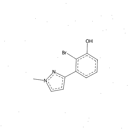 Cn1ccc(-c2cccc(O)c2Br)n1